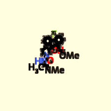 CNCC(C)NC(=O)N1CCC[C@@H]([C@@](O)(CCCCOC)c2ccccc2-c2ccccc2F)C1